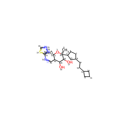 CO[C@H]1O[C@](C)(C2CCC(CCC3CCC3)C2)C(O)C(O)C1/C=N\c1nncs1